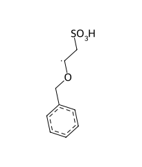 O=S(=O)(O)C[CH]OCc1ccccc1